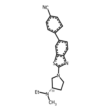 CCN(C)[C@H]1CCN(c2nc3ccc(-c4ccc(C#N)cc4)cc3s2)C1